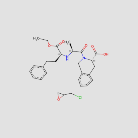 CCOC(=O)[C@H](CCc1ccccc1)N[C@@H](C)C(=O)N1Cc2ccccc2C[C@H]1C(=O)O.ClCC1CO1